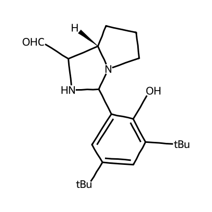 CC(C)(C)c1cc(C2NC(C=O)[C@@H]3CCCN23)c(O)c(C(C)(C)C)c1